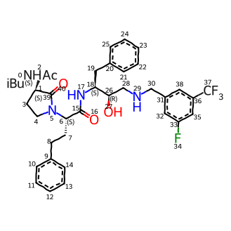 CC[C@H](C)[C@@]1(NC(C)=O)CCN([C@@H](CCc2ccccc2)C(=O)N[C@@H](Cc2ccccc2)[C@H](O)CNCc2cc(F)cc(C(F)(F)F)c2)C1=O